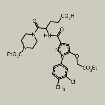 CCOC(=O)COc1cc(C(=O)NC(CCC(=O)O)C(=O)N2CCN(C(=O)OCC)CC2)nn1-c1ccc(C)c(Cl)c1